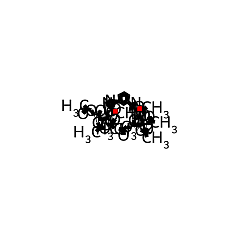 CC(=O)OC[C@H]1O[C@H](n2cc(-c3cccc(-c4cn([C@H]5O[C@H](COC(C)=O)[C@@H](OC(C)=O)[C@H](OC(C)=O)[C@@H]5OC(C)=O)nn4)c3)nn2)[C@@H](OC(C)=O)[C@@H](OC(C)=O)[C@@H]1OC(C)=O